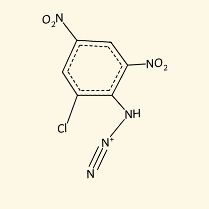 N#[N+]Nc1c(Cl)cc([N+](=O)[O-])cc1[N+](=O)[O-]